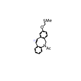 CSCOc1ccc2c(c1)/C=C\c1ccccc1N(C(C)=O)C2